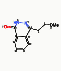 COCCc1n[nH]c(=O)c2ccccc12